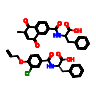 C=CCOc1ccc(C(=O)N[C@@H](Cc2ccccc2)C(=O)O)cc1Cl.CC1=CC(=O)c2cc(C(=O)NC(Cc3ccccc3)C(=O)O)ccc2C1=O